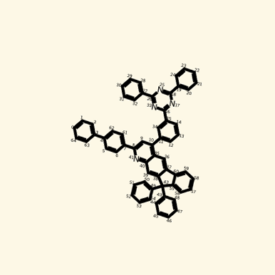 c1ccc(-c2ccc(-c3cc(-c4cccc(-c5nc(-c6ccccc6)nc(-c6ccccc6)n5)c4)c4cc5c(cc4n3)C(c3ccccc3)(c3ccccc3)c3ccccc3-5)cc2)cc1